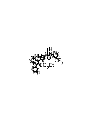 CCOC(=O)c1c(-c2ccc(NC(=O)Nc3cc(C(F)(F)F)ccn3)cc2)c2c(N)ncnn2c1-c1cccc(F)c1